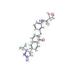 O=C(Nc1cccc(Cn2ccc3cc(-c4c[nH]nc4C(F)F)ccc3c2=O)c1)C1COC1